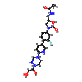 CC(=O)NCC1CN(c2ccc(-c3ccc(N4C=NN(C(=O)CO)CC4)nc3)c(F)c2)C(=O)O1